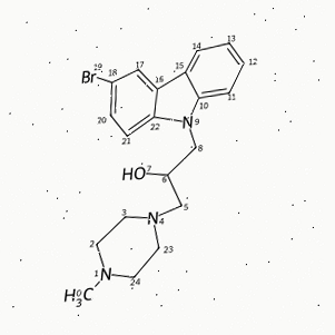 CN1CCN(CC(O)Cn2c3ccccc3c3cc(Br)ccc32)CC1